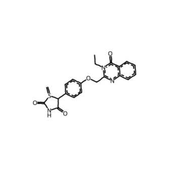 C=S1C(=O)NC(=O)C1c1ccc(OCc2nc3ccccc3c(=O)n2CC)cc1